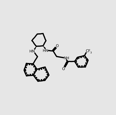 O=C(CNC(=O)c1cccc(C(F)(F)F)c1)N[C@@H]1CCCC[C@@H]1NCc1cccc2ccccc12